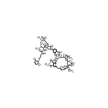 COc1cc2cc(c1Cl)N(C)C(=O)C[C@H](OC(=O)Nc1ccc(NC(=O)[C@H](CCCNC(N)=O)NC(=O)[C@@H](NC(=S)NCCCCN3C(=O)C=CC3=O)C(C)C)cc1Br)[C@@H](C)[C@@H](O)[C@H](C)[C@@H]1C[C@@](O)(NC(=O)O1)[C@H](OC)/C=C/C=C(\C)C2